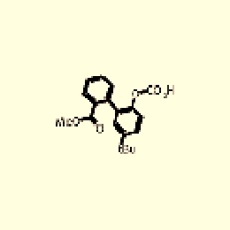 COC(=O)c1ccccc1-c1cc(C(C)(C)C)ccc1OC(=O)O